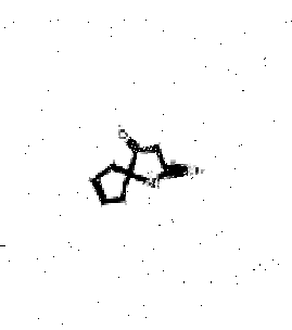 O=C1CC(=O)C2(CC=CC2)N1